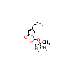 CCC1=CC(=O)N(C(=O)OC(C)(C)C)C1